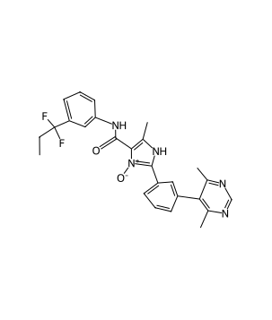 CCC(F)(F)c1cccc(NC(=O)c2c(C)[nH]c(-c3cccc(-c4c(C)ncnc4C)c3)[n+]2[O-])c1